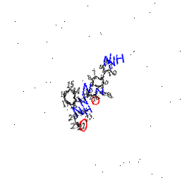 Cc1[nH]ncc1-c1ccc2nc(Nc3ccccc3N3CCOCC3)c(=O)n(C)c2c1